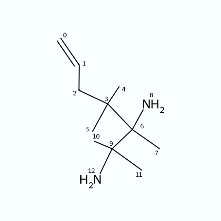 C=CCC(C)(C)C(C)(N)C(C)(C)N